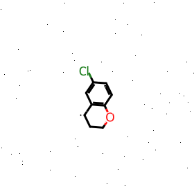 Clc1ccc2c(c1)[CH]CCO2